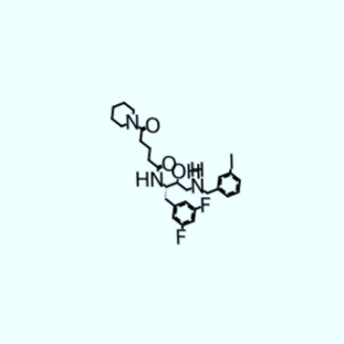 O=C(CCCC(=O)N1CCCCC1)N[C@@H](Cc1cc(F)cc(F)c1)[C@@H](O)CNCc1cccc(I)c1